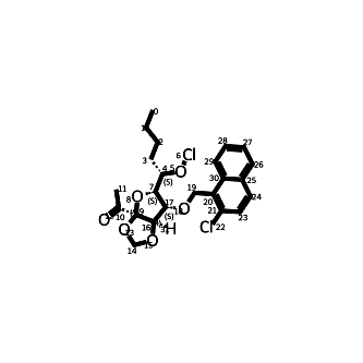 CCCC[C@H](OCl)[C@H]1O[C@]2(C(C)=O)OCO[C@@H]2[C@H]1OCc1c(Cl)ccc2ccccc12